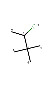 C[C](Cl)C(C)(C)C